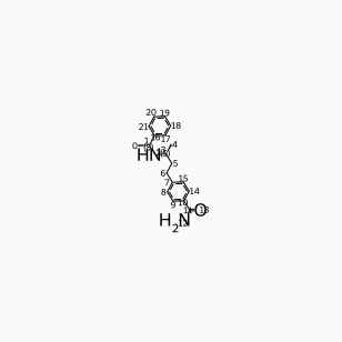 C[C@H](N[C@@H](C)CCc1ccc(C(N)=O)cc1)c1ccccc1